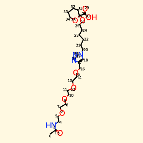 CC(=O)NCCOCCOCCOCCOCc1cn(CCCCCCOC2(C(=O)O)CCCCO2)nn1